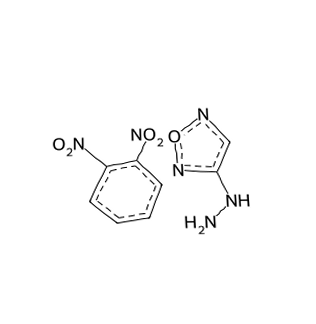 NNc1cnon1.O=[N+]([O-])c1ccccc1[N+](=O)[O-]